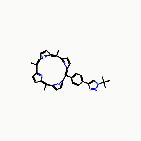 Cc1c2nc(c(C)c3ccc([nH]3)c(-c3ccc(-c4cn(C(C)(C)C)nn4)cc3)c3nc(c(C)c4ccc1[nH]4)C=C3)C=C2